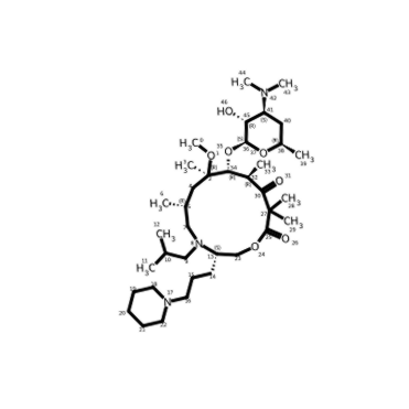 CO[C@]1(C)C[C@@H](C)CN(CC(C)C)[C@@H](CCCN2CCCCC2)COC(=O)C(C)(C)C(=O)[C@H](C)[C@H]1O[C@@H]1O[C@H](C)C[C@H](N(C)C)[C@H]1O